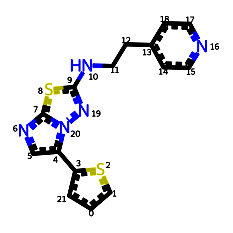 c1csc(-c2cnc3sc(NCCc4ccncc4)nn23)c1